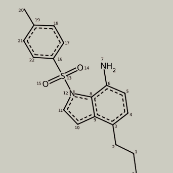 CCCc1ccc(N)c2c1ccn2S(=O)(=O)c1ccc(C)cc1